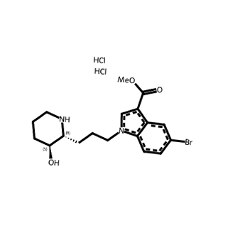 COC(=O)c1cn(CCC[C@H]2NCCC[C@@H]2O)c2ccc(Br)cc12.Cl.Cl